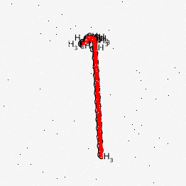 COCCOCCOCCOCCOCCOCCOCCOCCOCCOCCOCCOCCOCCOCCOCCOCCOCCOCCOCCOCCOCCOCCOCCOCCC(=O)NCCCC[C@H](NC(=O)[C@@H](NC(=O)CCCC(C)(C)C)C(C)C)C(=O)C(C)(C)C